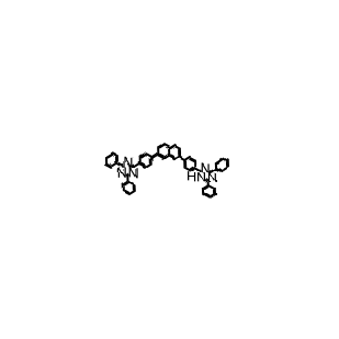 c1ccc(C2=NC(c3ccc(-c4ccc5ccc(-c6ccc(-c7nc(-c8ccccc8)nc(-c8ccccc8)n7)cc6)cc5c4)cc3)NC(c3ccccc3)=N2)cc1